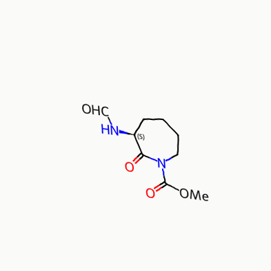 COC(=O)N1CCCC[C@H](NC=O)C1=O